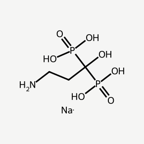 NCCC(O)(P(=O)(O)O)P(=O)(O)O.[Na]